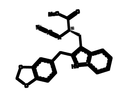 COC(=O)[C@H](Cc1c(Cc2ccc3c(c2)OCO3)[nH]c2ccccc12)N=[N+]=[N-]